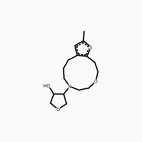 Cc1cc2c(s1)CCOCCN(C1COCC1O)CCC2